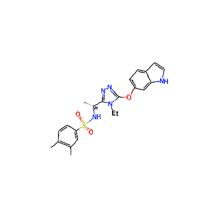 CCn1c(Oc2ccc3cc[nH]c3c2)nnc1[C@@H](C)NS(=O)(=O)c1ccc(C)c(C)c1